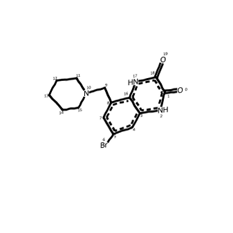 O=c1[nH]c2cc(Br)cc(CN3CCCCC3)c2[nH]c1=O